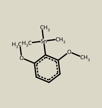 COc1cccc(OC)[c]1[Sn]([CH3])([CH3])[CH3]